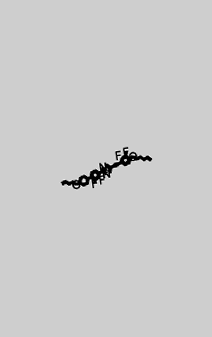 C=CCCCOc1ccc(C#Cc2cnc(-c3ccc(C4CCC(OCCC=C)CC4)c(F)c3F)nc2)c(F)c1F